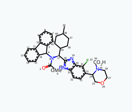 COC(=O)N(C1c2ccccc2-c2ccccc21)[C@H](c1nc2c(F)c(C3COCCN3C(=O)O)ccc2[nH]1)C1CCC(C)CC1